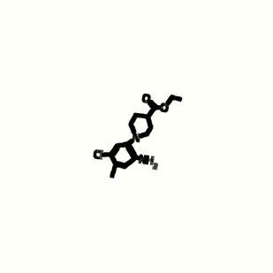 CCOC(=O)C1CCN(c2cc(Cl)c(C)cc2N)CC1